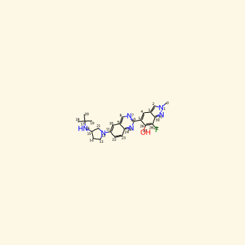 Cn1cc2cc(-c3ncc4cc(N5CCC(NC(C)(C)C)C5)ccc4n3)c(O)c(F)c2n1